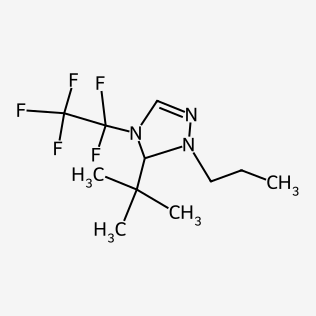 CCCN1N=CN(C(F)(F)C(F)(F)F)C1C(C)(C)C